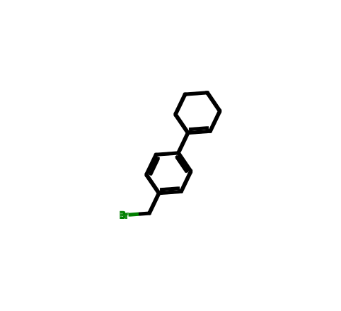 BrCc1ccc(C2=CCCCC2)cc1